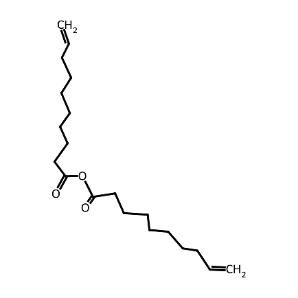 C=CCCCCCCCC(=O)OC(=O)CCCCCCCC=C